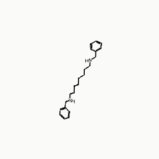 c1ccc(CNCCCCCCCCNCc2ccccc2)cc1